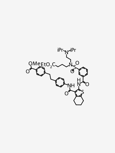 CCOC(=O)CCCN(CCN(C(C)C)C(C)C)S(=O)(=O)c1cccc(C(=O)Nc2sc3c(c2C(=O)Nc2ccc(CCc4ccc(C(=O)OC)cc4)cc2)CCCC3)c1